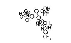 C[C@H](NS(=O)(=O)c1ccc(-c2ccccc2)c(-c2ccc(N3CC(=O)NS3(=O)=O)c(Cl)c2)c1)c1nc2cc(C(F)(F)F)ccc2[nH]1.O=C(O)C(F)(F)F